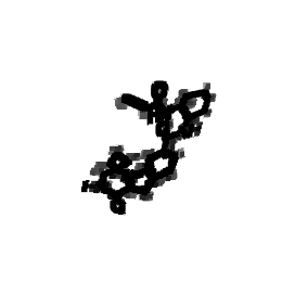 C=CC(=O)N[C@H]1CCCC[C@H]1NC(=O)c1ccc2cc3n(c2c1)C1(CCC1)CNC3=O